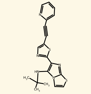 CC(C)(C)Nc1c(-c2ncc(C#Cc3ccccn3)s2)nc2sccn12